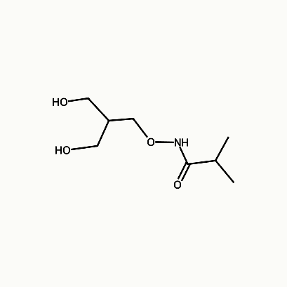 CC(C)C(=O)NOCC(CO)CO